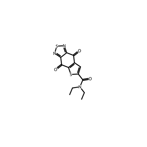 CCN(CC)C(=O)c1cc2c(s1)C(=O)c1nsnc1C2=O